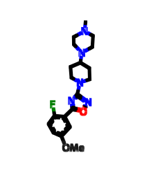 COc1ccc(F)c(-c2nc(N3CCC(N4CCN(C)CC4)CC3)no2)c1